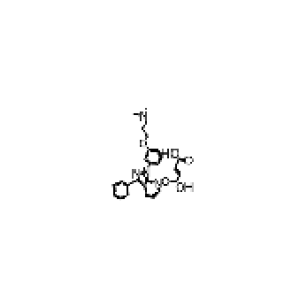 CN(C)CCCOc1cccc(-n2nc(-c3ccccc3)c3cccnc32)c1.O=C(O)C=CC(=O)O